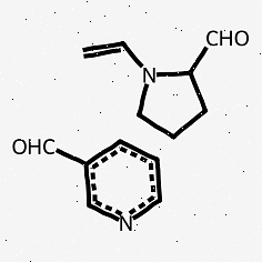 C=CN1CCCC1C=O.O=Cc1cccnc1